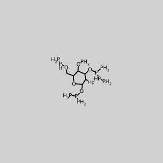 [18F]C1C(OP(P)P)OC(COPP)C(OP)C1OP(P)PP